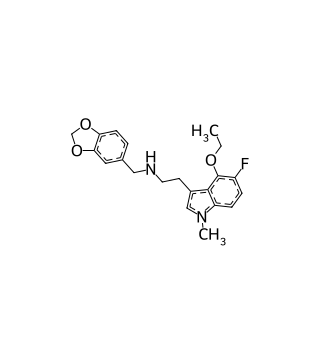 CCOc1c(F)ccc2c1c(CCNCc1ccc3c(c1)OCO3)cn2C